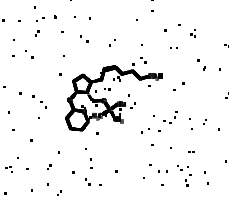 CC(C)(C)[Si](C)(C)OC[C@H]1[C@H](C/C=C\CCCC(=O)O)CC[C@@H]1OC1CCCCO1